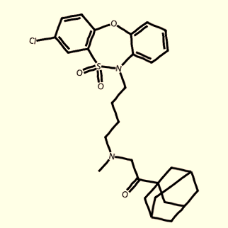 CN(CCCCN1c2ccccc2Oc2ccc(Cl)cc2S1(=O)=O)CC(=O)C12CC3CC(CC(C3)C1)C2